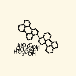 O=C(O)O.O=C(O)O.O=C(O)O.O=C(O)O.c1cc2cccc3c4ccc(-c5ccc6c7cccc8cccc(c9cccc5c96)c87)c5cccc(c(c1)c23)c54